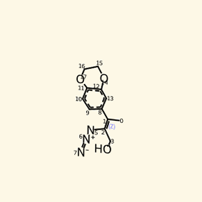 C/C(=C(\CO)N=[N+]=[N-])c1ccc2c(c1)OCCO2